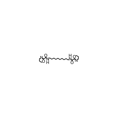 O=C(NCCCCCCCCCCNC(=O)C1=NCCCO1)C1=NCCCO1